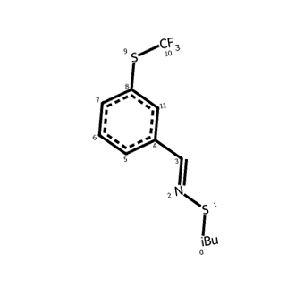 CCC(C)SN=Cc1cccc(SC(F)(F)F)c1